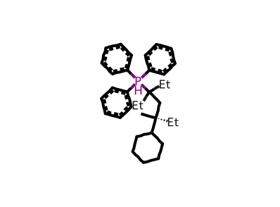 CCC(CC)(C[C@@](C)(CC)C1CCCCC1)[PH](c1ccccc1)(c1ccccc1)c1ccccc1